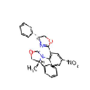 C[C@@]1(c2ccccc2)CO[CH]N1c1ccc([N+](=O)[O-])cc1C1=N[C@H](c2ccccc2)CO1